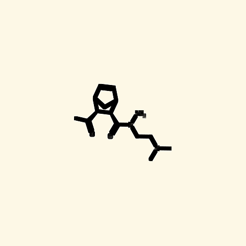 CC(=O)[C@H]1C2C=CC(C2)[C@H]1C(=O)N(N)CCN(C)C